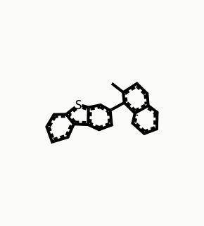 Cc1ccc2ccccc2c1-c1ccc2c(c1)sc1ccccc12